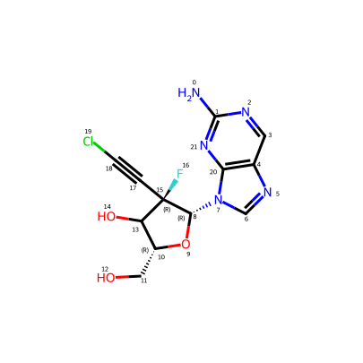 Nc1ncc2ncn([C@@H]3O[C@H](CO)C(O)[C@]3(F)C#CCl)c2n1